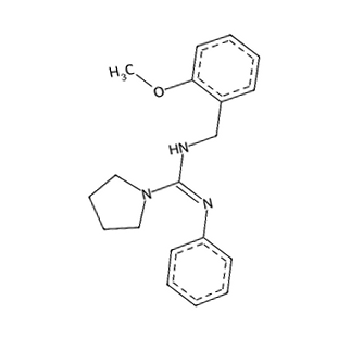 COc1ccccc1CNC(=Nc1ccccc1)N1CCCC1